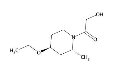 CCO[C@H]1CCN(C(=O)CO)[C@H](C)C1